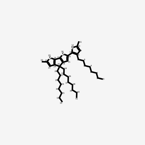 CCCCCCCCc1cc(C)sc1-c1cc2c(s1)-c1sc(C)cc1C2(CCCCCCCC)CCCCCCCC